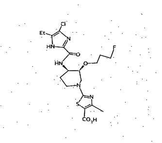 CCc1[nH]c(C(=O)N[C@@H]2CCN(c3nc(C)c(C(=O)O)s3)C[C@@H]2OCCCF)nc1Cl